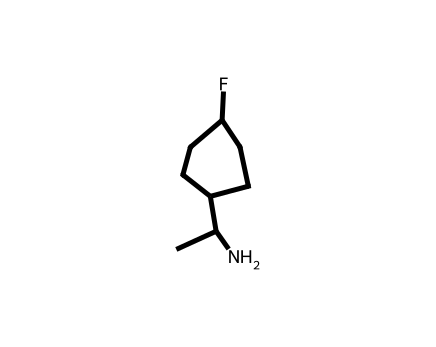 CC(N)C1CCC(F)CC1